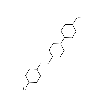 C=NC1CCC(C2CCC(COC3CCC(CC)CC3)CC2)CC1